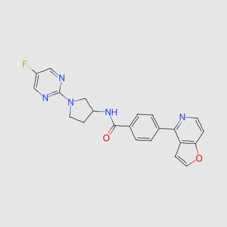 O=C(NC1CCN(c2ncc(F)cn2)C1)c1ccc(-c2nccc3occc23)cc1